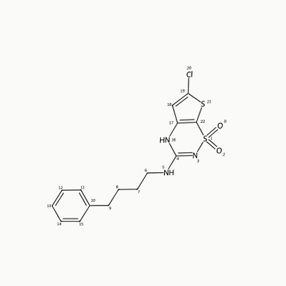 O=S1(=O)N=C(NCCCCc2ccccc2)Nc2cc(Cl)sc21